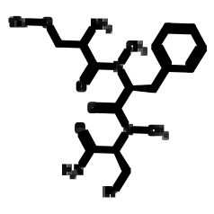 CC(C)C[C@@H](C(N)=O)N(C)C(=O)[C@H](Cc1ccccc1)N(C)C(=O)C(N)COC(C)(C)C